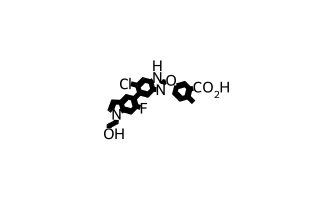 Cc1ccc(OC2=NC3C=C(c4cc5ccn(CCO)c5cc4F)C(Cl)=CC3N2)cc1C(=O)O